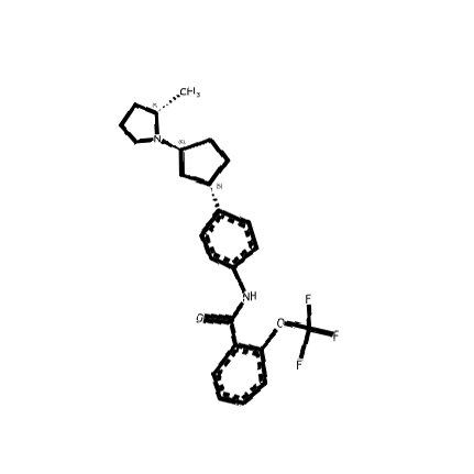 C[C@H]1CCCN1[C@H]1CC[C@H](c2ccc(NC(=O)c3ccccc3OC(F)(F)F)cc2)C1